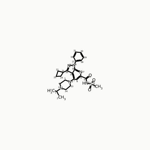 CC(C)N1CCN(c2cc(C(=O)NS(C)(=O)=O)nc3c2c(C2CCC2)nn3-c2ccccc2)CC1